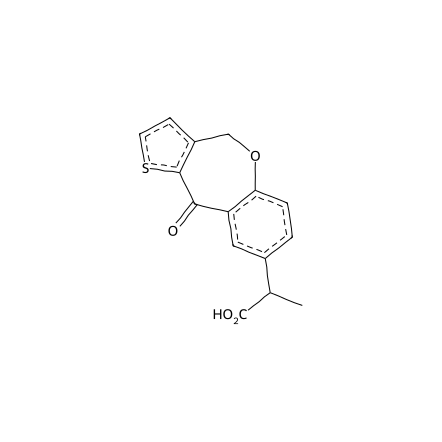 CC(C(=O)O)c1ccc2c(c1)C(=O)c1sccc1CO2